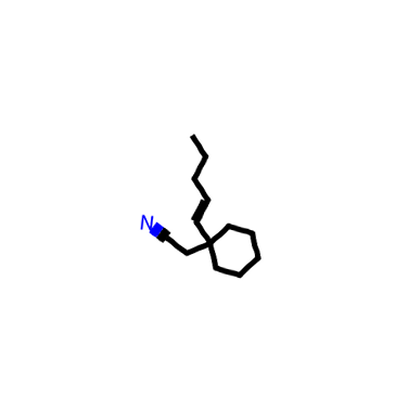 CCCC=CC1(CC#N)CCCCC1